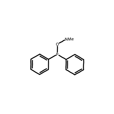 CNOP(c1ccccc1)c1ccccc1